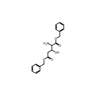 NC(C(=O)OCc1ccccc1)C(O)CC(=O)OCc1ccccc1